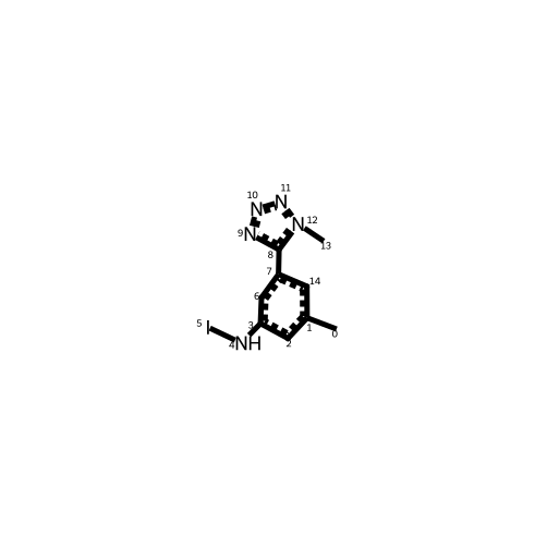 Cc1cc(NI)cc(-c2nnnn2C)c1